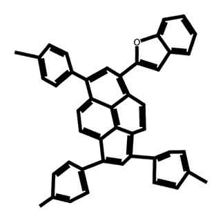 Cc1ccc(-c2cc(-c3ccc(C)cc3)c3ccc4c(-c5cc6ccccc6o5)cc(-c5ccc(C)cc5)c5ccc2c3c54)cc1